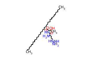 CCCCCC=CCC=CCCCCCCCCC(CCCCCCCC=CCC=CCCCCC)OC(=O)C(NC(=O)C(N)CCCNC(=N)N)C(C)O